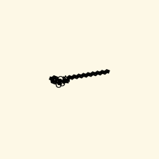 CCCCCCCCCCCCCCCCCCN1CC(OS(=O)(=O)c2ccc(C)cc2)C1